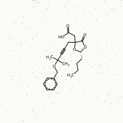 CCCC[C@H]1OC(=O)C(CC#CC(C)(C)OCc2ccccc2)(CC(=O)O)O1